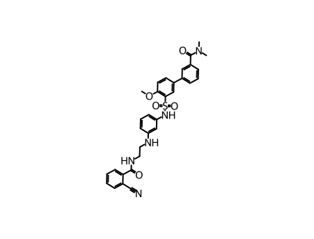 COc1ccc(-c2cccc(C(=O)N(C)C)c2)cc1S(=O)(=O)Nc1cccc(NCCNC(=O)c2ccccc2C#N)c1